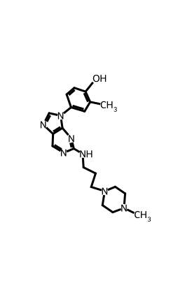 Cc1cc(-n2cnc3cnc(NCCCN4CCN(C)CC4)nc32)ccc1O